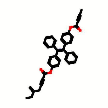 C=C(CC)CC#CC(=O)Oc1ccc(/C(=C(\c2ccccc2)c2ccc(OC(=O)C#CC)cc2)c2ccccc2)cc1